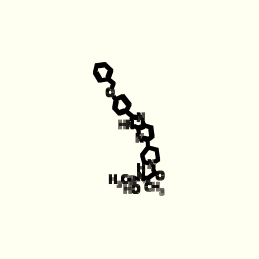 CB(O)N[C@H](C)C(=O)N1CCC(c2ccc3nc(-c4ccc(OCc5ccccc5)cc4)[nH]c3n2)CC1